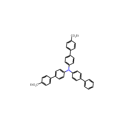 CCOC(=O)c1ccc(-c2ccc(N(c3ccc(-c4ccccc4)cc3)c3ccc(-c4ccc(C(=O)OCC)cc4)cc3)cc2)cc1